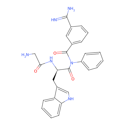 N=C(N)c1cccc(C(=O)N(C(=O)[C@@H](Cc2c[nH]c3ccccc23)NC(=O)CN)c2ccccc2)c1